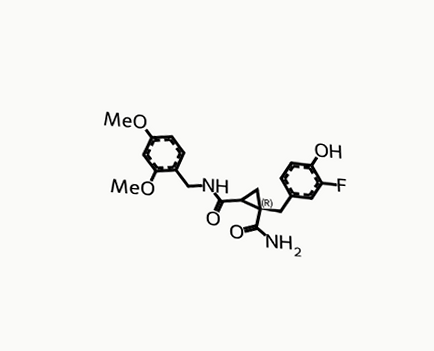 COc1ccc(CNC(=O)C2C[C@]2(Cc2ccc(O)c(F)c2)C(N)=O)c(OC)c1